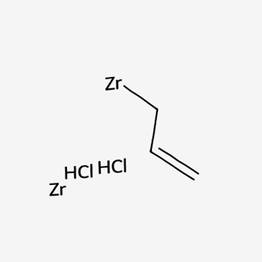 C=C[CH2][Zr].Cl.Cl.[Zr]